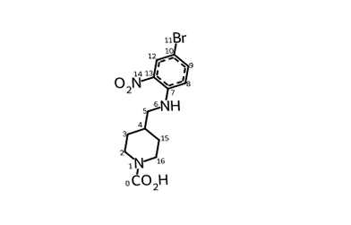 O=C(O)N1CCC(CNc2ccc(Br)cc2[N+](=O)[O-])CC1